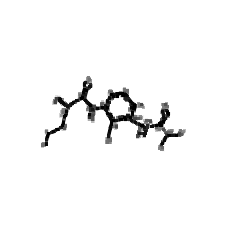 CCCC(C)C(=O)Nc1cccc(NC(=O)C(C)C)c1C